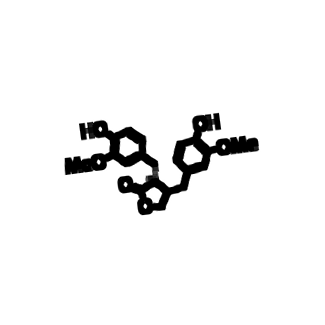 COc1cc(CC2COC(=O)[C@@H]2Cc2ccc(O)c(OC)c2)ccc1O